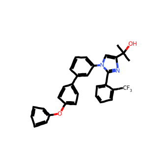 CC(C)(O)c1cn(-c2cccc(-c3ccc(Oc4ccccc4)cc3)c2)c(-c2ccccc2C(F)(F)F)n1